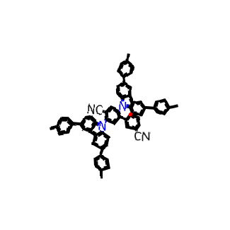 Cc1ccc(-c2ccc3c(c2)c2cc(-c4ccc(C)cc4)ccc2n3-c2cc(-c3cccc(C#N)c3)c(-n3c4ccc(-c5ccc(C)cc5)cc4c4cc(-c5ccc(C)cc5)ccc43)cc2C#N)cc1